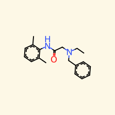 CCN(CC(=O)Nc1c(C)cccc1C)Cc1ccccc1